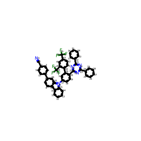 N#Cc1ccc(-c2ccc3c4ccccc4n(-c4ccc(-c5nc(-c6ccccc6)nc(-c6ccccc6)n5)c(-c5ccc(C(F)(F)F)cc5C(F)(F)F)c4)c3c2)cc1